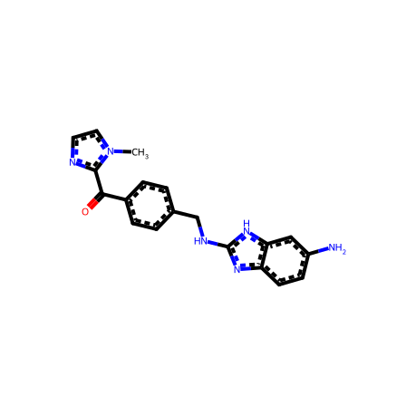 Cn1ccnc1C(=O)c1ccc(CNc2nc3ccc(N)cc3[nH]2)cc1